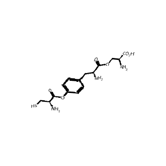 N[C@@H](COC(=O)[C@@H](N)Cc1ccc(OC(=O)[C@@H](N)CS)cc1)C(=O)O